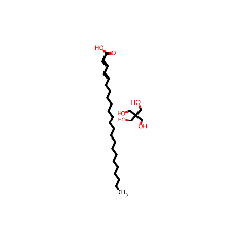 CCCCCCCCCCCCCCCCCCC=CC=CC(=O)O.OCC(CO)(CO)CO